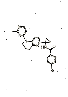 Cc1nccc(N2CCCc3nc(C4(NC(=O)c5ccc(Br)cc5)CC4)ccc32)n1